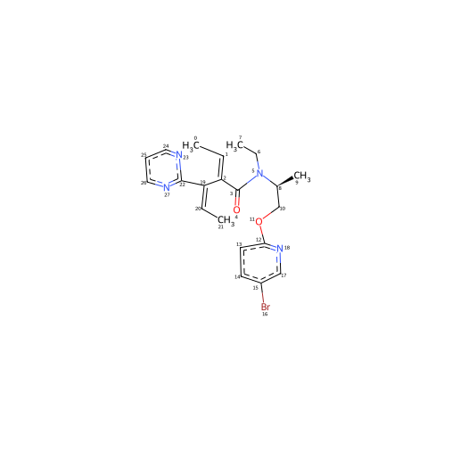 C/C=C(C(=O)N(CC)[C@@H](C)COc1ccc(Br)cn1)\C(=C/C)c1ncccn1